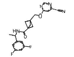 CC(NC(=O)C12CC(COc3cc(C#N)ncn3)(C1)C2)c1cc(F)cc(F)c1